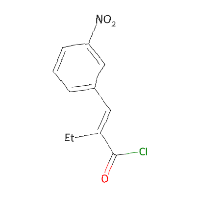 CC/C(=C\c1cccc([N+](=O)[O-])c1)C(=O)Cl